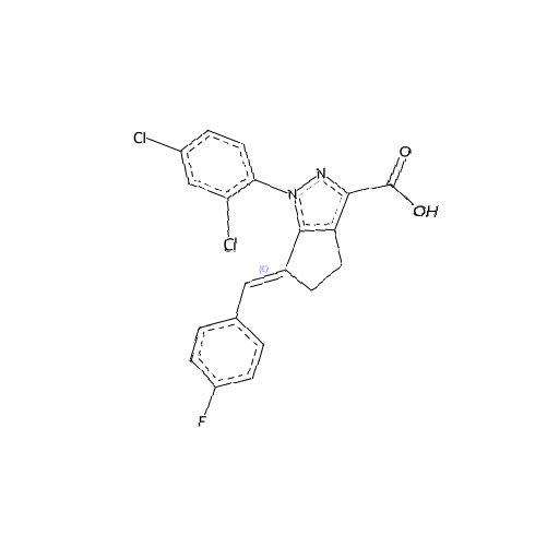 O=C(O)c1nn(-c2ccc(Cl)cc2Cl)c2c1CC/C2=C\c1ccc(F)cc1